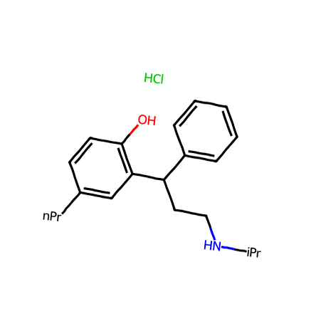 CCCc1ccc(O)c(C(CCNC(C)C)c2ccccc2)c1.Cl